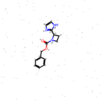 O=C(OCc1ccccc1)N1CCC1c1ncc[nH]1